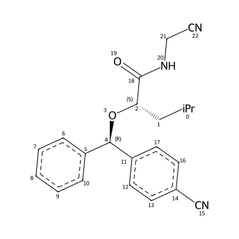 CC(C)C[C@H](O[C@H](c1ccccc1)c1ccc(C#N)cc1)C(=O)NCC#N